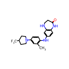 Cc1cc(N2CCC(C(F)(F)F)CC2)ccc1Nc1ccc2c(c1)NCCC(=O)N2